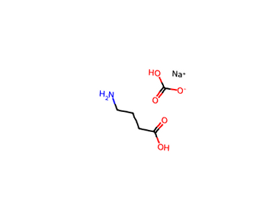 NCCCC(=O)O.O=C([O-])O.[Na+]